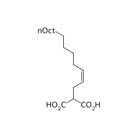 CCCCCCCCCCCC/C=C\CC(C(=O)O)C(=O)O